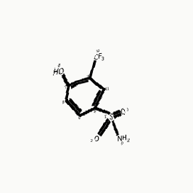 NS(=O)(=O)c1ccc(O)c(C(F)(F)F)c1